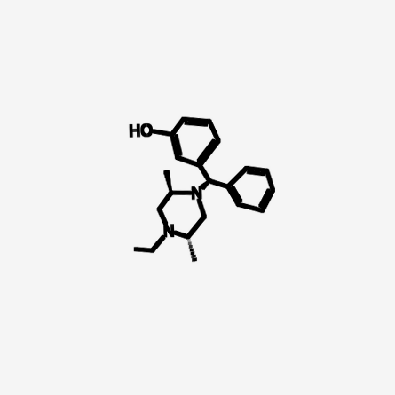 CCN1C[C@@H](C)N([C@H](c2ccccc2)c2cccc(O)c2)C[C@@H]1C